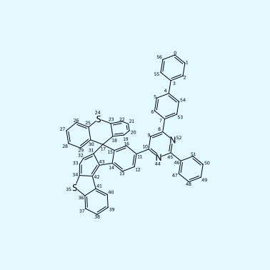 c1ccc(-c2ccc(-c3cc(-c4ccc5c(c4)C4(c6ccccc6Sc6ccccc64)c4ccc6sc7ccccc7c6c4-5)nc(-c4ccccc4)n3)cc2)cc1